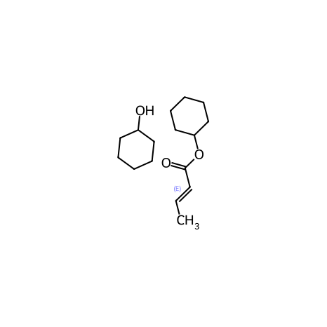 C/C=C/C(=O)OC1CCCCC1.OC1CCCCC1